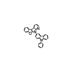 c1ccc(-n2c3ccccc3c3cc(-n4c5ncccc5c5c6ccccc6oc54)ccc32)cc1